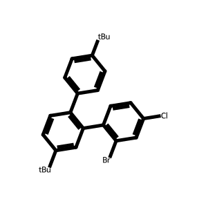 CC(C)(C)c1ccc(-c2ccc(C(C)(C)C)cc2-c2ccc(Cl)cc2Br)cc1